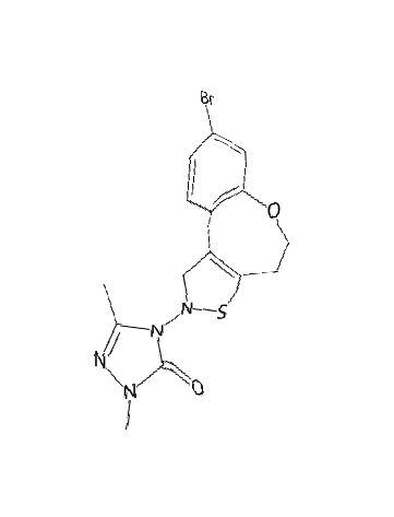 Cc1nn(C)c(=O)n1N1CC2=C(CCOc3cc(Br)ccc32)S1